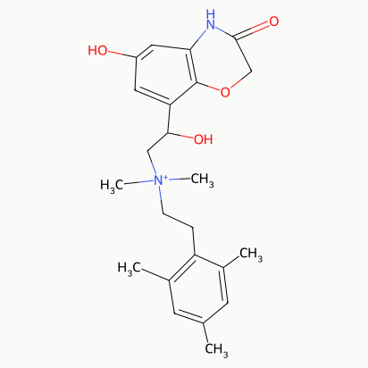 Cc1cc(C)c(CC[N+](C)(C)CC(O)c2cc(O)cc3c2OCC(=O)N3)c(C)c1